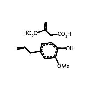 C=C(CC(=O)O)C(=O)O.C=CCc1ccc(O)c(OC)c1